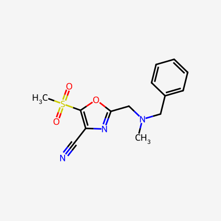 CN(Cc1ccccc1)Cc1nc(C#N)c(S(C)(=O)=O)o1